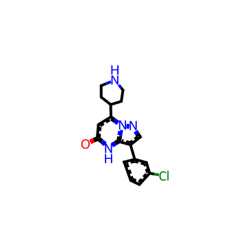 O=c1cc(C2CCNCC2)n2ncc(-c3cccc(Cl)c3)c2[nH]1